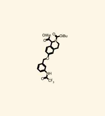 COC(=O)C1c2ccc(OCc3cccc(NC(=O)C(F)(F)F)c3)cc2CCN1C(=O)OCC(C)C